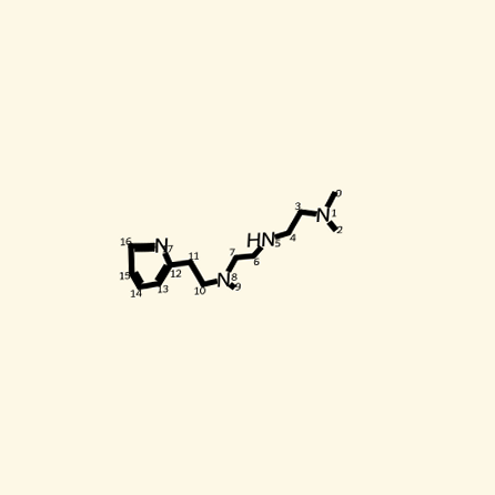 CN(C)CCNCCN(C)CCc1ccccn1